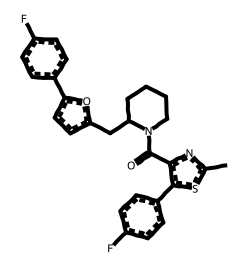 Cc1nc(C(=O)N2CCCCC2Cc2ccc(-c3ccc(F)cc3)o2)c(-c2ccc(F)cc2)s1